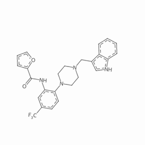 O=C(Nc1cc(C(F)(F)F)ccc1N1CCN(Cc2c[nH]c3ccccc23)CC1)c1ccco1